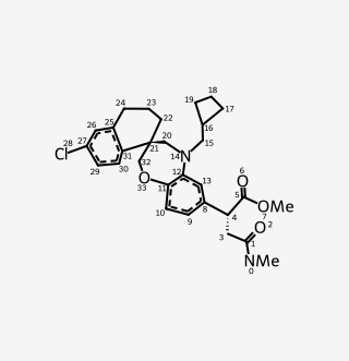 CNC(=O)C[C@@H](C(=O)OC)c1ccc2c(c1)N(CC1CCC1)C[C@@]1(CCCc3cc(Cl)ccc31)CO2